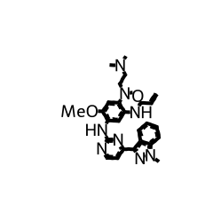 C=CC(=O)Nc1cc(Nc2nccc(-c3nn(C)c4ccccc34)n2)c(OC)cc1N(C)CCN(C)C